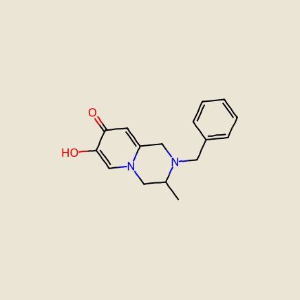 CC1Cn2cc(O)c(=O)cc2CN1Cc1ccccc1